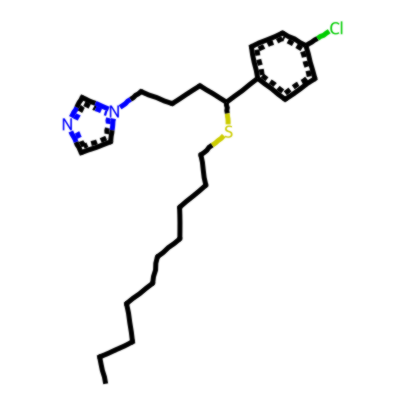 CCCCCCCCCCSC(CCCn1ccnc1)c1ccc(Cl)cc1